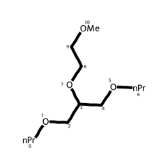 CCCOCC(COCCC)OCCOC